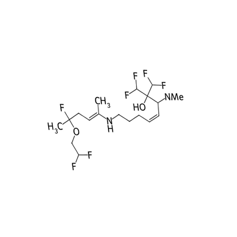 CNC(/C=C\CCCN/C(C)=C/CC(C)(F)OCC(F)F)C(O)(C(F)F)C(F)F